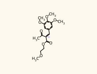 COCCOC(=O)/C(=C/c1cc(OC)c(OC)c(OC)c1)C(C)=O